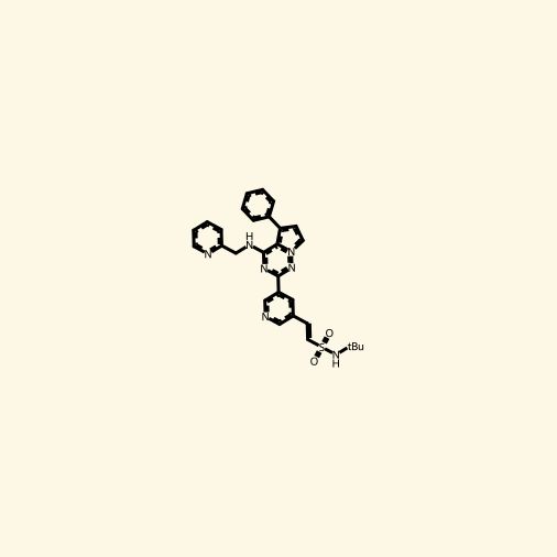 CC(C)(C)NS(=O)(=O)C=Cc1cncc(-c2nc(NCc3ccccn3)c3c(-c4ccccc4)ccn3n2)c1